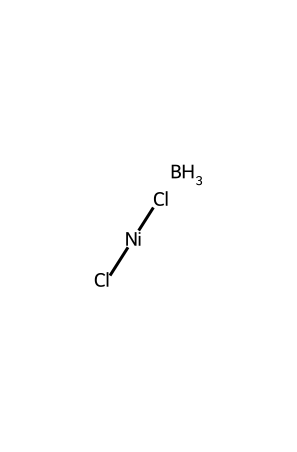 B.[Cl][Ni][Cl]